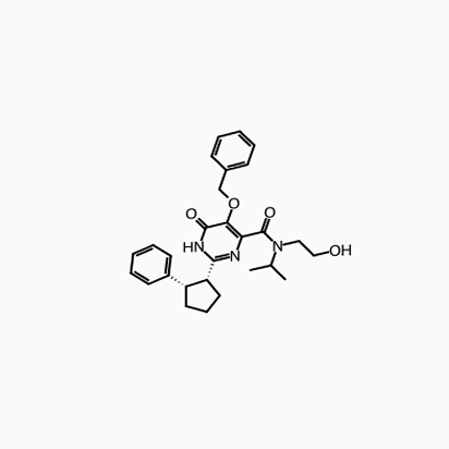 CC(C)N(CCO)C(=O)c1nc([C@@H]2CCC[C@@H]2c2ccccc2)[nH]c(=O)c1OCc1ccccc1